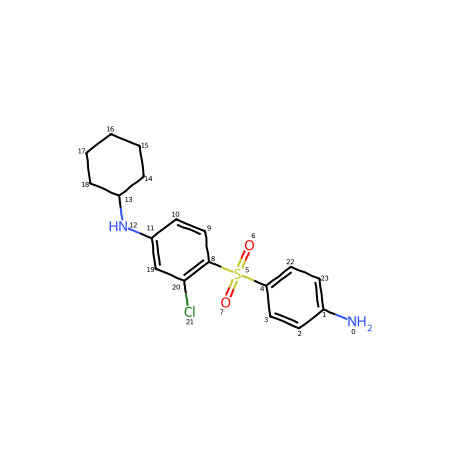 Nc1ccc(S(=O)(=O)c2ccc(NC3CCCCC3)cc2Cl)cc1